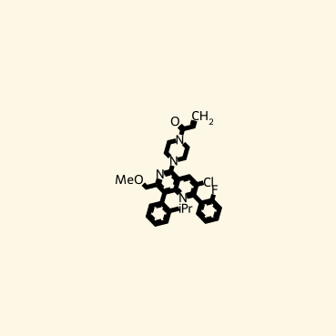 C=CC(=O)N1CCN(c2nc(COC)c(-c3ccccc3C(C)C)c3nc(-c4ccccc4F)c(Cl)cc23)CC1